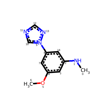 CNc1cc(OC)cc(-n2cncn2)c1